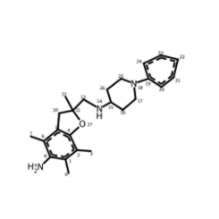 Cc1c(C)c2c(c(C)c1N)CC(C)(CNC1CCN(c3ccccc3)CC1)O2